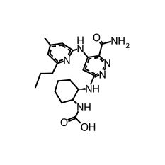 CCCc1cc(C)cc(Nc2cc(N[C@@H]3CCCC[C@@H]3NC(=O)O)nnc2C(N)=O)n1